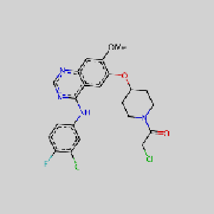 COc1cc2ncnc(Nc3ccc(F)c(Cl)c3)c2cc1OC1CCN(C(=O)CCl)CC1